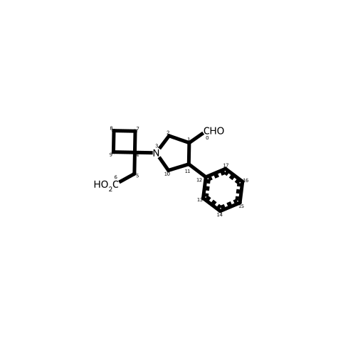 O=CC1CN(C2(CC(=O)O)CCC2)CC1c1ccccc1